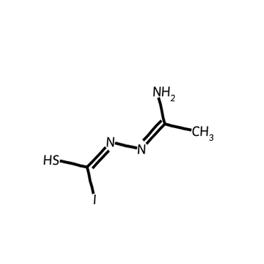 C/C(N)=N/N=C(/S)I